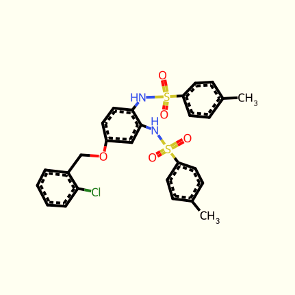 Cc1ccc(S(=O)(=O)Nc2ccc(OCc3ccccc3Cl)cc2NS(=O)(=O)c2ccc(C)cc2)cc1